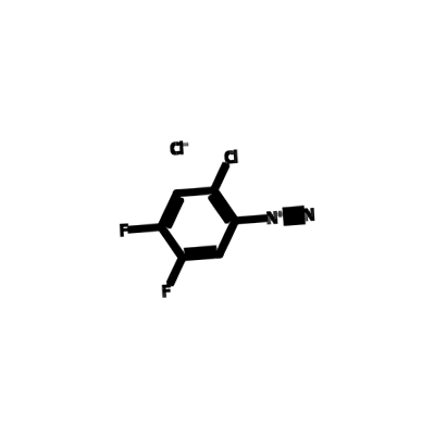 N#[N+]c1cc(F)c(F)cc1Cl.[Cl-]